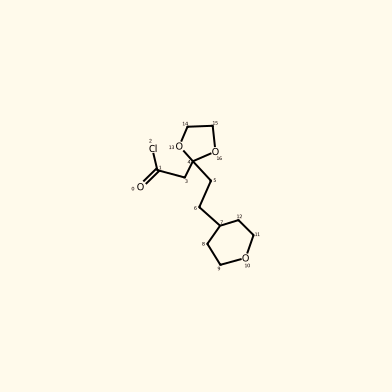 O=C(Cl)CC1(CCC2CCOCC2)OCCO1